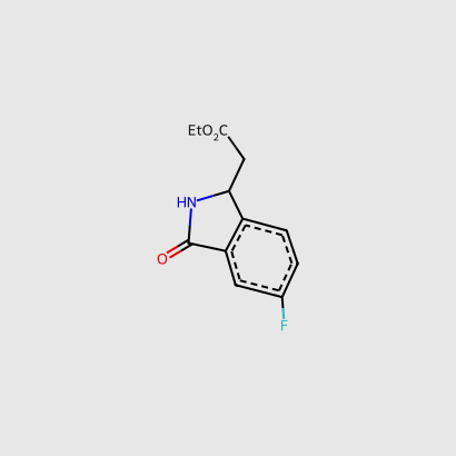 CCOC(=O)CC1NC(=O)c2cc(F)ccc21